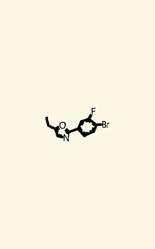 CCc1cnc(-c2ccc(Br)c(F)c2)o1